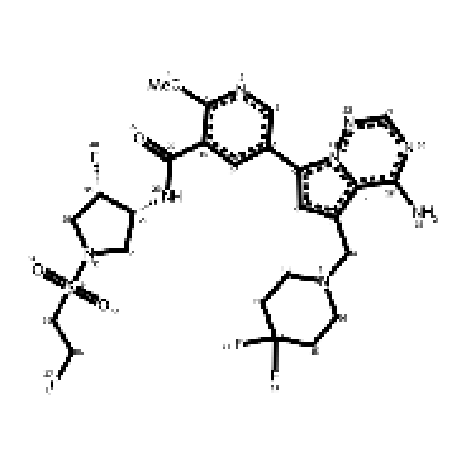 COc1ncc(-c2cc(CN3CCC(F)(F)CC3)c3c(N)ncnn23)cc1C(=O)N[C@@H]1CN(S(=O)(=O)CCC(F)(F)F)C[C@@H]1F